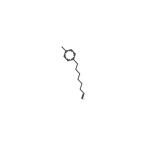 [CH]=CCCCCCCc1ccc(C)cc1